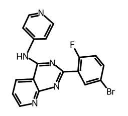 Fc1ccc(Br)cc1-c1nc(Nc2ccncc2)c2cccnc2n1